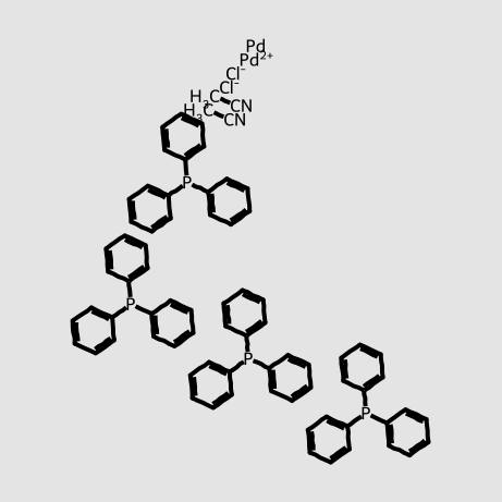 CC#N.CC#N.[Cl-].[Cl-].[Pd+2].[Pd].c1ccc(P(c2ccccc2)c2ccccc2)cc1.c1ccc(P(c2ccccc2)c2ccccc2)cc1.c1ccc(P(c2ccccc2)c2ccccc2)cc1.c1ccc(P(c2ccccc2)c2ccccc2)cc1